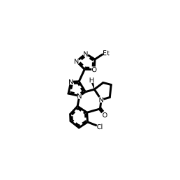 CCc1nnc(-c2ncn3c2[C@@H]2CCCN2C(=O)c2c(Cl)cccc2-3)o1